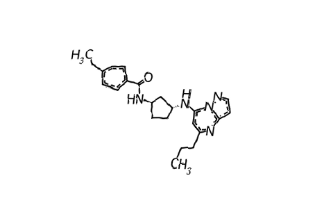 CCCc1cc(N[C@@H]2CC[C@@H](NC(=O)c3ccc(CC)cc3)C2)n2nccc2n1